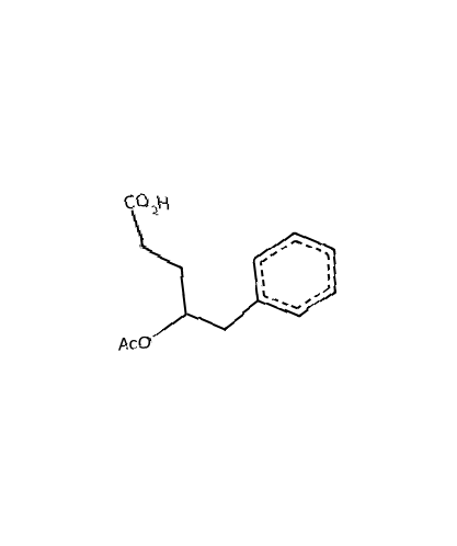 CC(=O)OC(CCC(=O)O)Cc1ccccc1